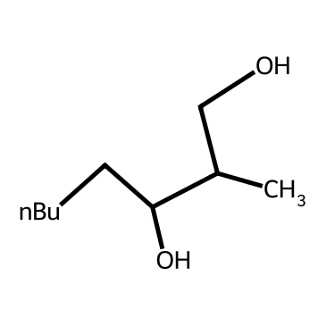 CCCCCC(O)C(C)CO